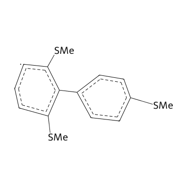 CSc1ccc(-c2c(SC)[c]ccc2SC)cc1